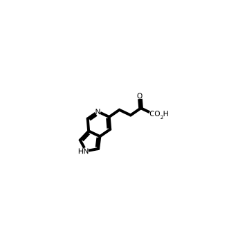 O=C(O)C(=O)CCc1cc2c[nH]cc2cn1